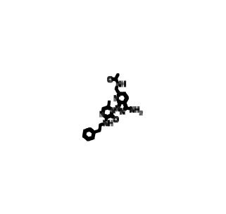 CC(=O)NCc1ccc2c(N)nn(-n3c(C)cnc(NCCc4ccccc4)c3=O)c2n1